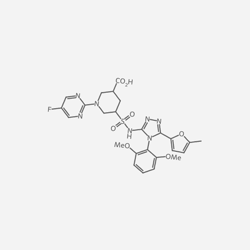 COc1cccc(OC)c1-n1c(NS(=O)(=O)C2CC(C(=O)O)CN(c3ncc(F)cn3)C2)nnc1-c1ccc(C)o1